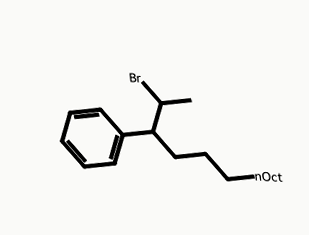 CCCCCCCCCCCC(c1ccccc1)C(C)Br